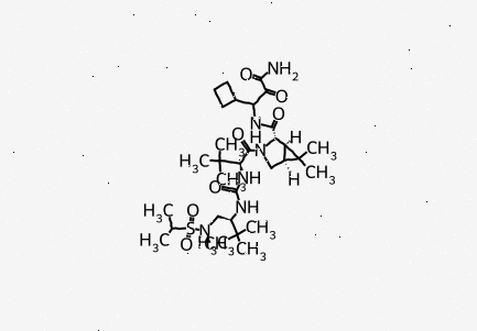 CC(C)S(=O)(=O)N(C)C[C@@H](NC(=O)N[C@H](C(=O)N1C[C@H]2[C@@H]([C@H]1C(=O)NC(C(=O)C(N)=O)C1CCC1)C2(C)C)C(C)(C)C)C(C)(C)C